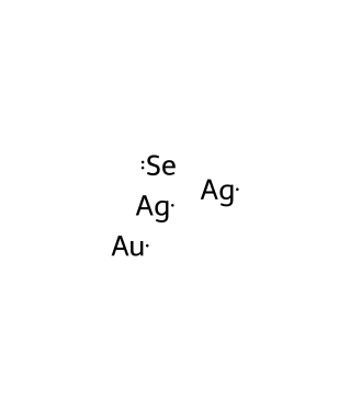 [Ag].[Ag].[Au].[Se]